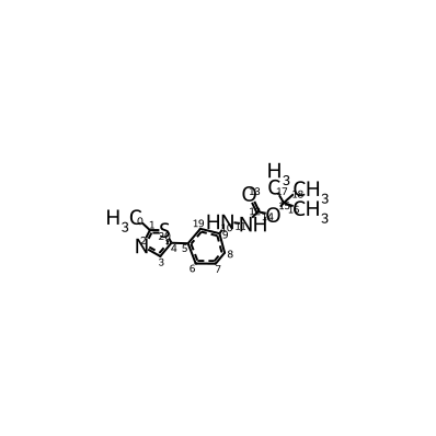 Cc1ncc(-c2cccc(NNC(=O)OC(C)(C)C)c2)s1